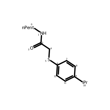 CCCCCNC(=O)CSc1ccc(C(C)C)cc1